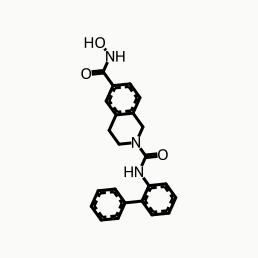 O=C(NO)c1ccc2c(c1)CCN(C(=O)Nc1ccccc1-c1ccccc1)C2